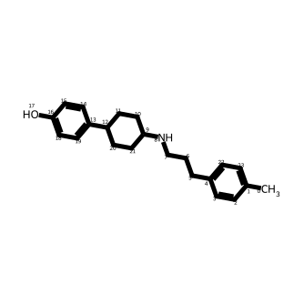 Cc1ccc(CCCNC2CCC(c3ccc(O)cc3)CC2)cc1